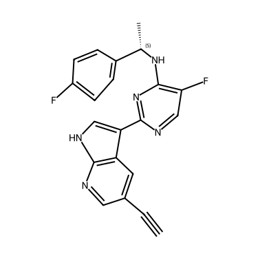 C#Cc1cnc2[nH]cc(-c3ncc(F)c(N[C@@H](C)c4ccc(F)cc4)n3)c2c1